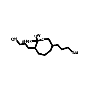 CCCCCCC1(CCC)CCC(CCCC(C)CC)CCCC1CCCN=O